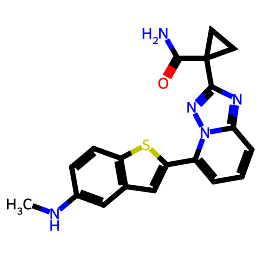 CNc1ccc2sc(-c3cccc4nc(C5(C(N)=O)CC5)nn34)cc2c1